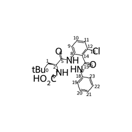 CC(C)(C)C[C@H](NC(=O)O)C(=O)Nc1cccc(Cl)c1C(=O)Nc1ccccc1